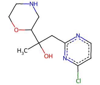 CC(O)(Cc1nccc(Cl)n1)C1CNCCO1